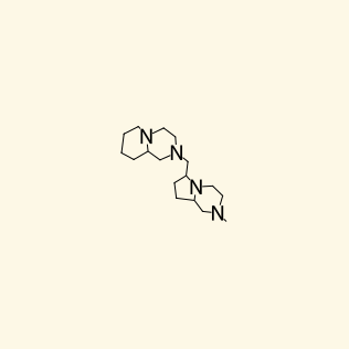 CN1CCN2C(CCC2CN2CCN3CCCCC3C2)C1